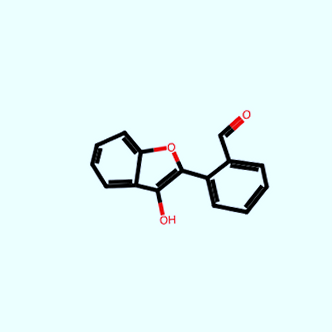 O=Cc1ccccc1-c1oc2ccccc2c1O